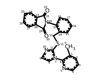 Cc1cccnc1-n1ccnc1SCc1ccccc1N1C(=O)c2ccccc2C1=O